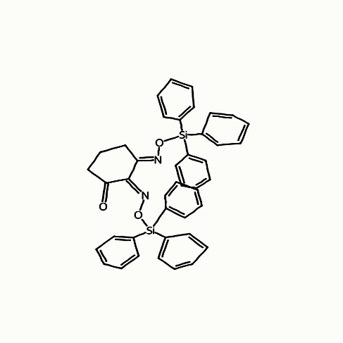 O=C1CCCC(=NO[Si](c2ccccc2)(c2ccccc2)c2ccccc2)C1=NO[Si](c1ccccc1)(c1ccccc1)c1ccccc1